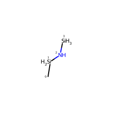 C[SiH2]N[SiH3]